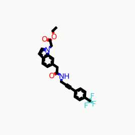 CCOC(=O)Cn1ccc2ccc(CC(=O)NCC#Cc3ccc(C(F)(F)F)cc3)cc21